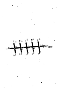 CCCCCC(F)(F)C(F)(F)C(F)(F)C(F)(F)C(F)(F)I